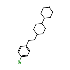 Brc1ccc(CCC2CCC(C3CC[CH]CC3)CC2)cc1